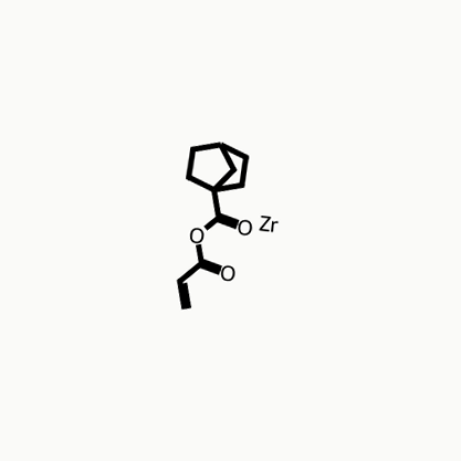 C=CC(=O)OC(=O)C12CCC(CC1)C2.[Zr]